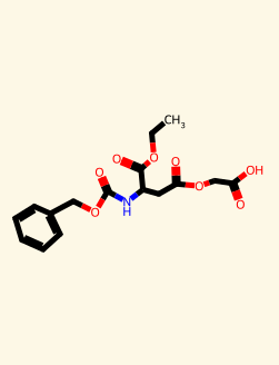 CCOC(=O)C(CC(=O)OCC(=O)O)NC(=O)OCc1ccccc1